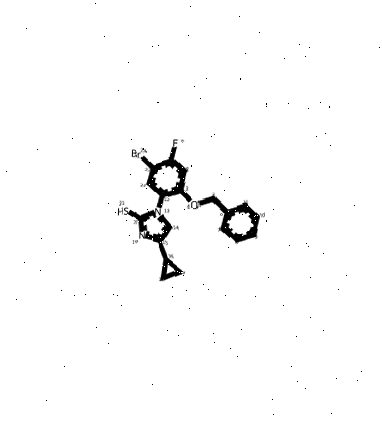 Fc1cc(OCc2ccccc2)c(-n2cc(C3CC3)nc2S)cc1Br